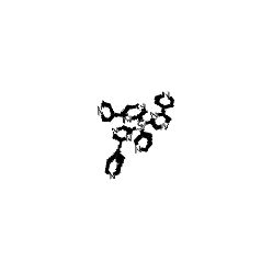 c1cncc([Si](c2cncc(-c3ccncc3)n2)(c2cncc(-c3ccncc3)n2)c2cncc(-c3ccncc3)n2)c1